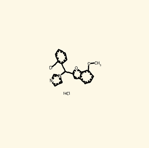 COc1cccc2cc(C(c3ccccc3Cl)n3ccnc3)oc12.Cl